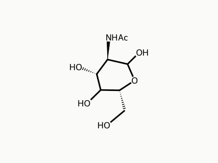 CC(=O)N[C@H]1C(O)O[C@H](CO)C(O)[C@@H]1O